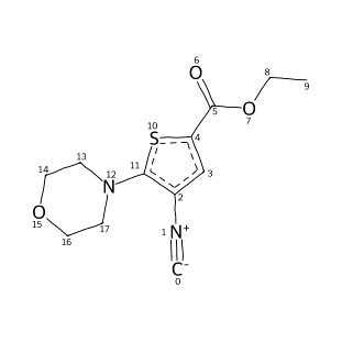 [C-]#[N+]c1cc(C(=O)OCC)sc1N1CCOCC1